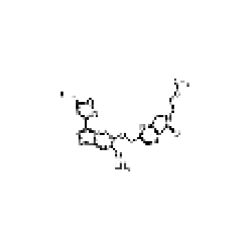 COCCN1Cc2nc(COc3nn4c(-c5cc(C)on5)nnc4cc3OC)ccc2C1=O